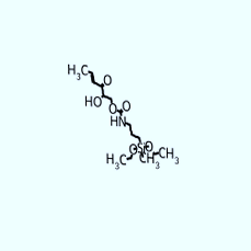 CC=CC(=O)C(O)COC(=O)NCCC[Si](C)(OCC)OCC